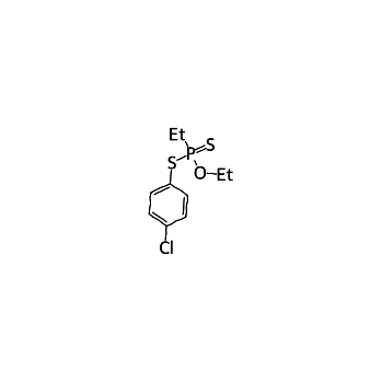 CCOP(=S)(CC)Sc1ccc(Cl)cc1